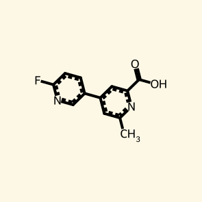 Cc1cc(-c2ccc(F)nc2)cc(C(=O)O)n1